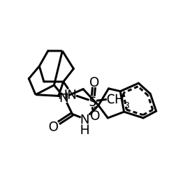 CS(=O)(=O)NC12CC3CC(C1)C(N1CC4(Cc5ccccc5C4)NC1=O)C(C3)C2